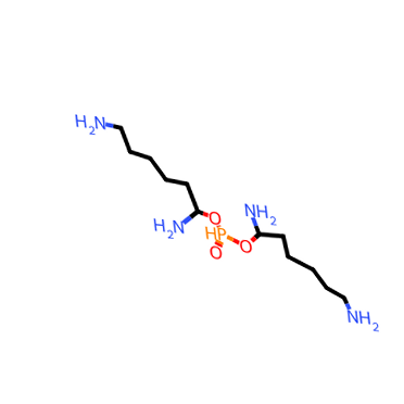 NCCCCCC(N)O[PH](=O)OC(N)CCCCCN